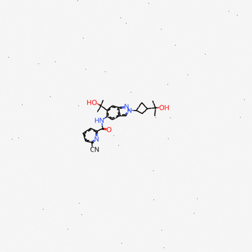 CC(C)(O)c1cc2nn(C3CC(C(C)(C)O)C3)cc2cc1NC(=O)c1cccc(C#N)n1